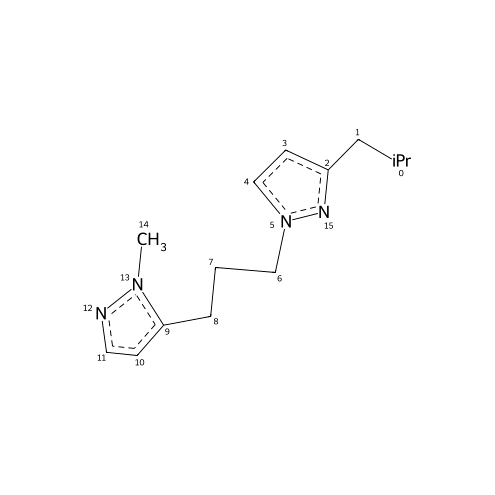 CC(C)Cc1ccn(CCCc2ccnn2C)n1